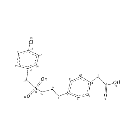 O=C(O)Cc1ccc(CCCS(=O)(=O)Cc2ccc(Cl)cc2)cc1